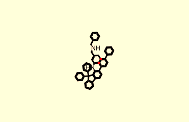 C1=C(CNCc2ccccc2)CCC=C1Nc1c(-c2ccc(-c3ccccc3)cc2)ccc2c1C(c1ccccc1)(c1ccccc1)c1ccccc1-2